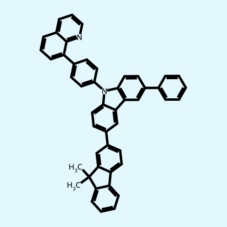 CC1(C)c2ccccc2-c2ccc(-c3ccc4c(c3)c3cc(-c5ccccc5)ccc3n4-c3ccc(-c4cccc5cccnc45)cc3)cc21